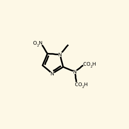 Cn1c([N+](=O)[O-])cnc1N(C(=O)O)C(=O)O